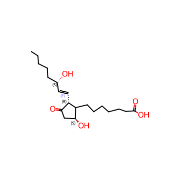 CCCCC[C@H](O)/C=C/[C@H]1C(=O)C[C@H](O)C1CCCCCCC(=O)O